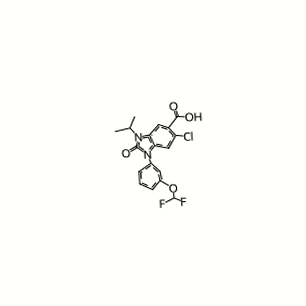 CC(C)n1c(=O)n(-c2cccc(OC(F)F)c2)c2cc(Cl)c(C(=O)O)cc21